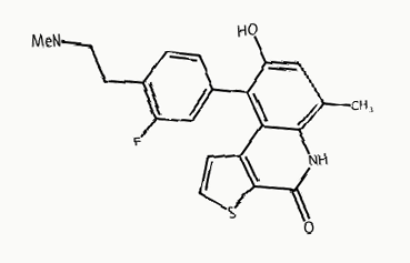 CNCCc1ccc(-c2c(O)cc(C)c3[nH]c(=O)c4sccc4c23)cc1F